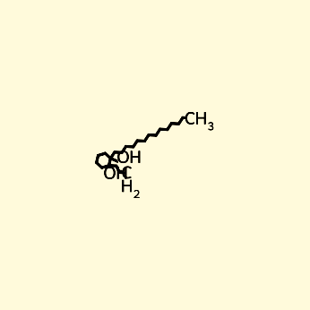 C=CCC1(O)CCCCC1(CO)CCCCCCCCCCCCCC